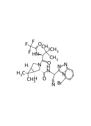 CC(C)(C)[C@H](NC(=O)C(F)(F)F)C(=O)N1C[C@H]2[C@@H]([C@H]1C(=O)NC(C#N)c1nnc3cccc(Br)n13)C2(C)C